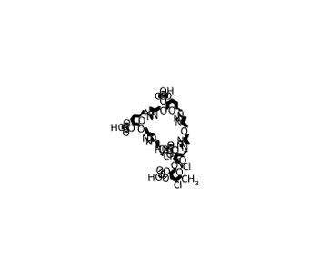 CCOCCn1cc(CO[C@@H]2O[C@H](Cn3cc(CO[C@H]4O[C@H](Cn5cc(COCc6cn(C[C@H]7O[C@@](CCl)(O[C@@H]8O[C@H](C)[C@H](Cl)C[C@H]8OS(=O)(=O)O)C[C@@H]7OS(=O)(=O)O)nn6)nn5)CC[C@@H]4OS(=O)(=O)O)nn3)CC[C@@H]2OS(=O)(=O)O)nn1